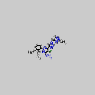 C#Cc1cccc(-c2nc(N)c(F)c(-c3cn(Cc4cnn(C)n4)nn3)n2)c1C